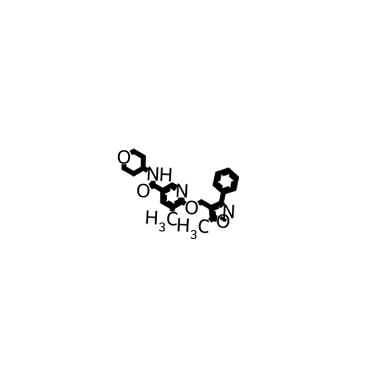 Cc1cc(C(=O)NC2CCOCC2)cnc1OCc1c(-c2ccccc2)noc1C